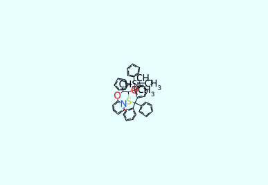 C[C@H](Oc1ccccn1)[C@@H](O[Si](c1ccccc1)(c1ccccc1)C(C)(C)C)SC(c1ccccc1)(c1ccccc1)c1ccccc1